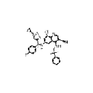 CC(C)(CNc1c(C#N)cnc2c(Cl)cc(N[C@@H](c3ccc(F)cc3)c3cn(C4CC4)nn3)cc12)c1ccccc1